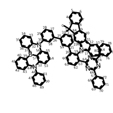 CC1(C)c2ccccc2-c2cc3c4ccccc4n(-c4c(-c5cccc(-c6cccc(N7c8ccccc8B8c9ccccc9N(c9ccccc9)c9cccc7c98)c6)c5)cccc4-c4nc(-c5ccccc5)nc(-c5ccccc5)n4)c3cc21